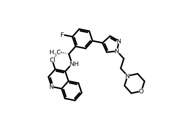 C[C@@H](Nc1c(Cl)cnc2ccccc12)c1cc(-c2cnn(CCN3CCOCC3)c2)ccc1F